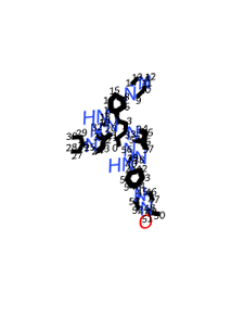 CCC(CCc1cc(N2CCN(C)CC2)ccc1Nc1ncc2ccn(C(CC)CC)c2n1)n1ccc2cnc(Nc3ccc(N4CCN(C(C)=O)CC4)cc3)nc21